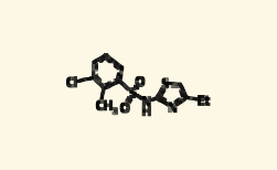 CCc1csc(NS(=O)(=O)c2cccc(Cl)c2C)n1